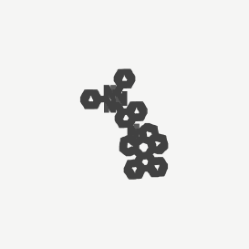 c1ccc(-c2nc(-c3ccccc3)nc(-c3ccc(-n4c5cccc6c5c5c7c(cccc7ccc54)-c4c-6c5ccccc5c5ccccc45)c4ccccc34)n2)cc1